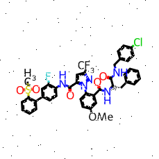 COc1ccc(-n2nc(C(F)(F)F)cc2C(=O)Nc2ccc(-c3ccccc3S(C)(=O)=O)cc2F)c(C(=O)N[C@@H](Cc2ccccc2)C(=O)NCc2ccc(Cl)cc2)c1